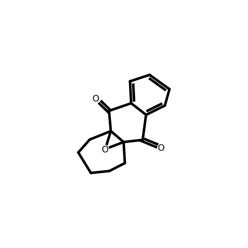 O=C1c2ccccc2C(=O)C23CCCCCC12O3